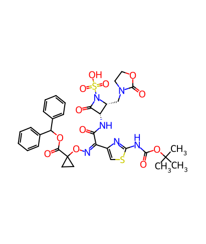 CC(C)(C)OC(=O)Nc1nc(C(=NOC2(C(=O)OC(c3ccccc3)c3ccccc3)CC2)C(=O)N[C@@H]2C(=O)N(S(=O)(=O)O)[C@@H]2CN2CCOC2=O)cs1